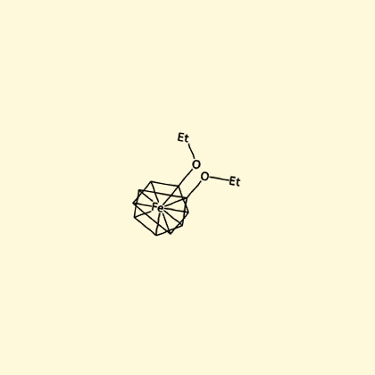 CCO[C]12[CH]3[CH]4[CH]5[CH]1[Fe]45321678[CH]2[CH]1[CH]6[C]7(OCC)[CH]28